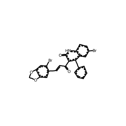 O=C(C=Cc1cc2c(cc1Br)OCO2)c1c(-c2ccccc2)c2cc(Br)ccc2[nH]c1=O